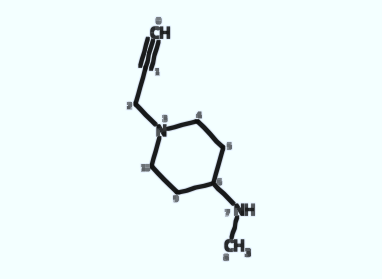 C#CCN1CCC(NC)CC1